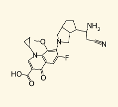 COc1c(N2CC3CCC(C(N)CC#N)C3C2)c(F)cc2c(=O)c(C(=O)O)cn(C3CC3)c12